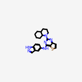 c1cc2nc(N3CCCC4CCCCC43)nc(Nc3ccc4[nH]ncc4c3)c2s1